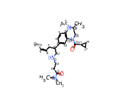 CC(=O)N1c2ccc(C(C/C=C\C(C)C)CNCCC(=O)N(C)C)cc2N(C(=O)C2CC2)C[C@@H]1C